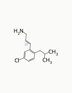 CC(C)Cc1ccc(Cl)cc1/C=C/CN